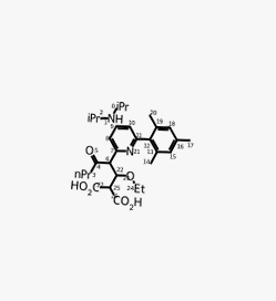 CC(C)NC(C)C.CCCC(=O)C(c1cccc(-c2c(C)cc(C)cc2C)n1)C(OCC)C(C(=O)O)C(=O)O